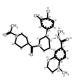 CC(=O)N1CCC(C(=O)N2CC[C@@H](N(C)C(=O)c3ccc4c(c3)OCCN4C)[C@H](c3ccc(Cl)c(Cl)c3)C2)CC1